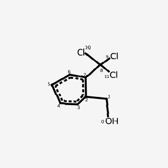 OCc1ccccc1C(Cl)(Cl)Cl